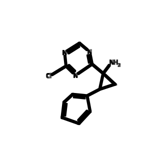 NC1(c2ncnc(Cl)n2)CC1c1ccccc1